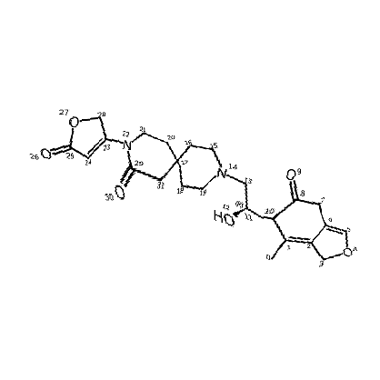 CC1=C2COC=C2CC(=O)C1[C@@H](O)CN1CCC2(CC1)CCN(C1=CC(=O)OC1)C(=O)C2